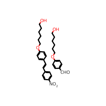 O=Cc1ccc(OCCCCCCO)cc1.O=[N+]([O-])c1ccc(C=Cc2ccc(OCCCCCCO)cc2)cc1